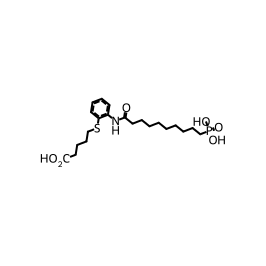 O=C(O)CCCCSc1ccccc1NC(=O)CCCCCCCCCP(=O)(O)O